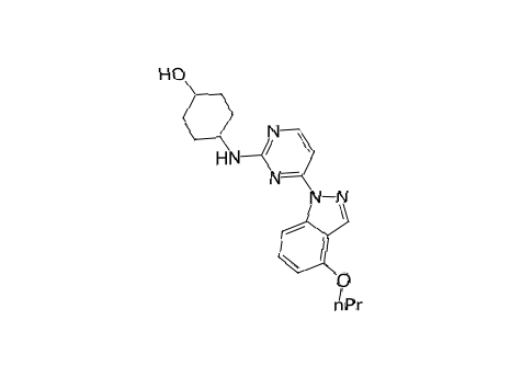 CCCOc1cccc2c1cnn2-c1ccnc(NC2CCC(O)CC2)n1